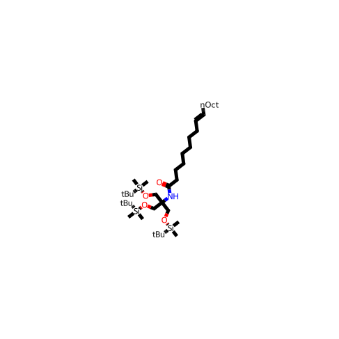 CCCCCCCCC=CCCCCCCCC(=O)NC(CO[Si](C)(C)C(C)(C)C)(CO[Si](C)(C)C(C)(C)C)CO[Si](C)(C)C(C)(C)C